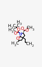 C=CCC1(CC=C)C[C@H](C(=O)OC)N(C(=O)OC(C)(C)C)C1=O